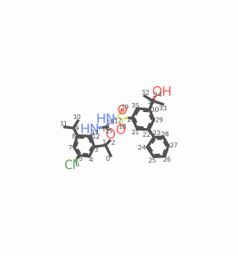 CC(C)c1cc(Cl)cc(C(C)C)c1NC(=O)NS(=O)(=O)c1cc(-c2ccccc2)cc(C(C)(C)O)c1